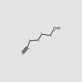 C#CCCCCC=O